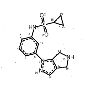 O=S(=O)(Nc1cccc(-n2ncc3c2CNC3)c1)C1CC1